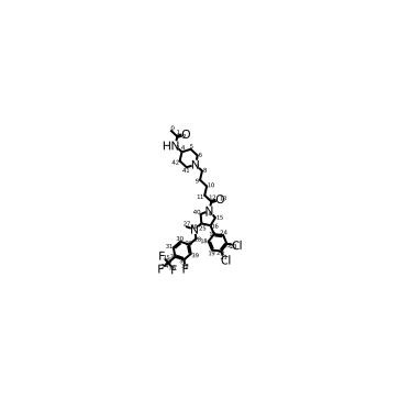 CC(=O)NC1CCN(CCCCC(=O)N2CC(c3ccc(Cl)c(Cl)c3)C(N(C)Cc3ccc(C(F)(F)F)c(F)c3)C2)CC1